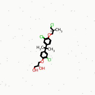 C[C@H](CCl)COc1ccc(C(C)(C)c2ccc(OC[C@H](O)CO)c(Cl)c2)cc1Cl